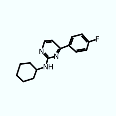 Fc1ccc(-c2ccnc(NC3CCCCC3)n2)cc1